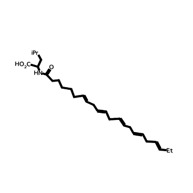 CCC=CCC=CCC=CCC=CCC=CCCCCCC(=O)NC(CC(C)C)C(=O)O